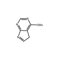 CSc1ncnc2c1CC=N2